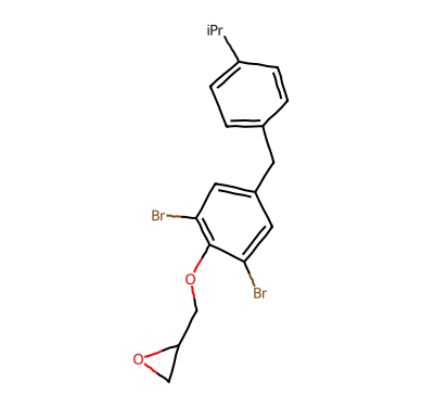 CC(C)c1ccc(Cc2cc(Br)c(OCC3CO3)c(Br)c2)cc1